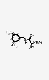 CNC(C(=O)NCc1cc(C(F)(F)F)cc(C(F)(F)F)c1)C(C)C